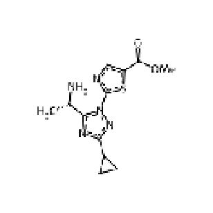 COC(=O)c1cnc(-n2nc(C3CC3)nc2[C@H](C)N)s1